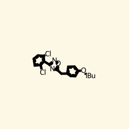 CCC(C)Oc1ccc(Cc2nc(-c3c(Cl)cccc3Cl)no2)cc1